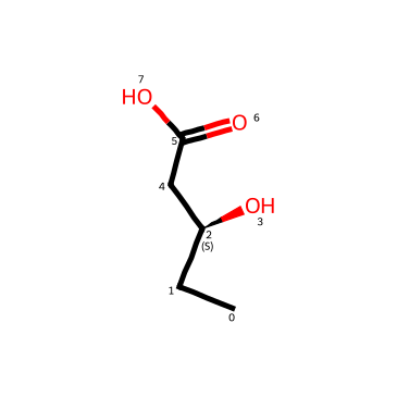 CC[C@H](O)CC(=O)O